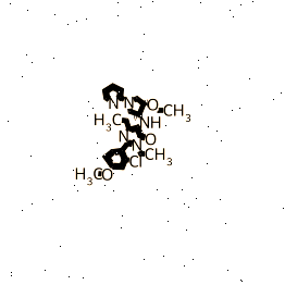 CCO[C@@H]1CN(c2ccccn2)C[C@H]1Nc1c(CC)nc(-c2ccc(OC)cc2Cl)n(CC)c1=O